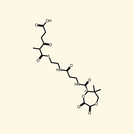 CC(C(=O)CCC(=O)O)C(=O)SCCNC(=O)CCNC(=O)[C@@H]1OC(=O)C(=O)OCC1(C)C